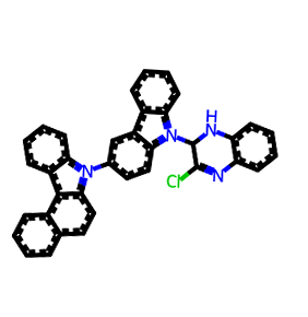 ClC1=Nc2ccccc2NC1n1c2ccccc2c2cc(-n3c4ccccc4c4c5ccccc5ccc43)ccc21